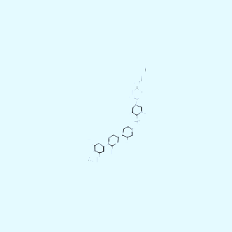 CCCCOC1COC(c2cc(F)c(C(F)(F)Oc3ccc(-c4ccc(-c5cc(F)c(OC(F)F)c(F)c5)c(F)c4)c(F)c3)c(F)c2)OC1